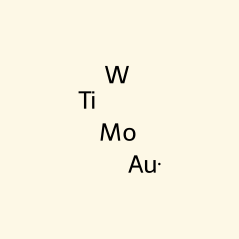 [Au].[Mo].[Ti].[W]